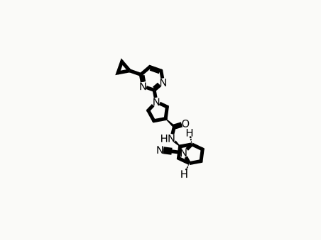 N#CN1[C@H]2CC[C@@H]1[C@H](NC(=O)[C@H]1CCN(c3nccc(C4CC4)n3)C1)C2